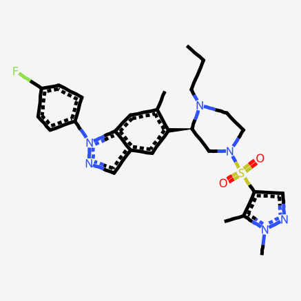 CCCN1CCN(S(=O)(=O)c2cnn(C)c2C)C[C@H]1c1cc2cnn(-c3ccc(F)cc3)c2cc1C